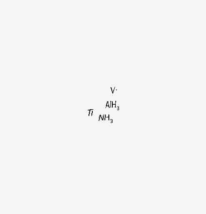 N.[AlH3].[Ti].[V]